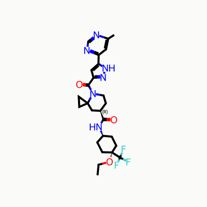 CCO[C@]1(C(F)(F)F)CC[C@@H](NC(=O)[C@@H]2CCN(C(=O)c3cc(-c4cc(C)ncn4)[nH]n3)C3(CC3)C2)CC1